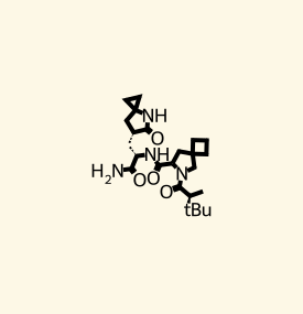 C[C@H](C(=O)N1CC2(CCC2)CC1C(=O)N[C@@H](C[C@@H]1CC2(CC2)NC1=O)C(N)=O)C(C)(C)C